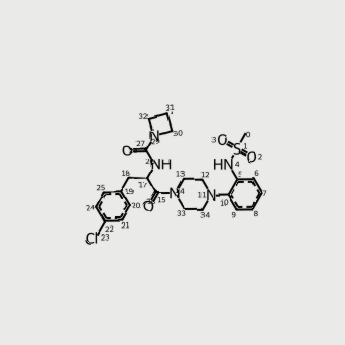 CS(=O)(=O)Nc1ccccc1N1CCN(C(=O)[C@@H](Cc2ccc(Cl)cc2)NC(=O)N2C[CH]C2)CC1